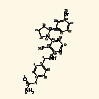 NC(=O)Cc1ccc(CNc2ncnc(N3CCCC3c3cccc(Br)c3)c2F)cc1